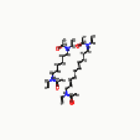 C=CN(CCCCCCCCCCN(C=C)C(C)=O)C(C)=O.C=CN(CCCCCCN(C=C)C(C)=O)C(C)=O